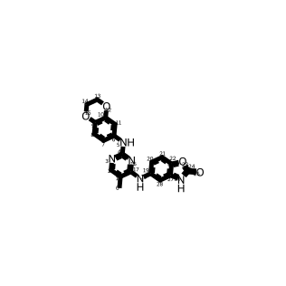 Cc1cnc(Nc2ccc3c(c2)OCCO3)nc1Nc1ccc2oc(=O)[nH]c2c1